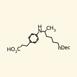 CCCCCCCCCCCCCCC(C)Nc1ccc(CCC(=O)O)cc1